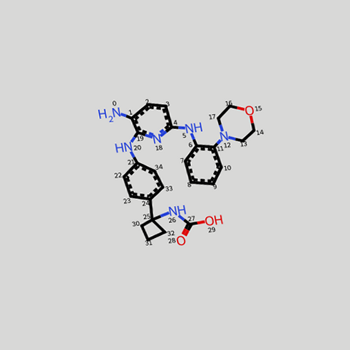 Nc1ccc(Nc2ccccc2N2CCOCC2)nc1Nc1ccc(C2(NC(=O)O)CCC2)cc1